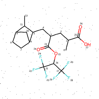 CC(CC(CC1C2CCC(C2)C1C)C(=O)OC(C(F)(F)F)C(F)(F)F)C(=O)O